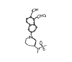 CN(C1CCCN(c2ccc3c(C=O)c(O)ccc3c2)C1)S(C)(=O)=O